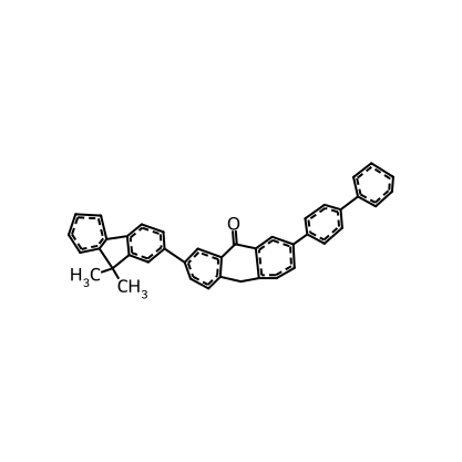 CC1(C)c2ccccc2-c2ccc(-c3ccc4c(c3)C(=O)c3cc(-c5ccc(-c6ccccc6)cc5)ccc3C4)cc21